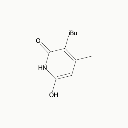 CCC(C)c1c(C)cc(O)[nH]c1=O